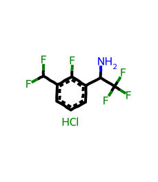 Cl.NC(c1cccc(C(F)F)c1F)C(F)(F)F